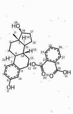 C[C@]12CC[C@@H]3c4ccc(O)cc4CC[C@H]3[C@@H]1CC[C@@H]2O.O=C(O)c1ccccc1C(=O)O